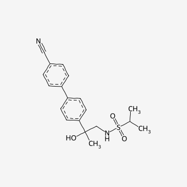 CC(C)S(=O)(=O)NCC(C)(O)c1ccc(-c2ccc(C#N)cc2)cc1